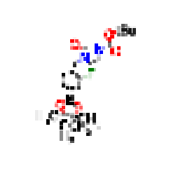 CC(C)(C)OC(=O)N1CCN(Cc2ccc(B3OC(C)(C)C(C)(C)O3)cc2F)C(=O)C1